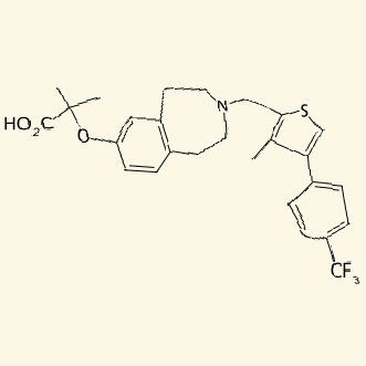 Cc1c(-c2ccc(C(F)(F)F)cc2)csc1CN1CCc2ccc(OC(C)(C)C(=O)O)cc2CC1